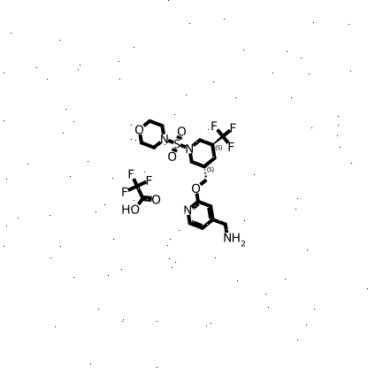 NCc1ccnc(OC[C@H]2C[C@H](C(F)(F)F)CN(S(=O)(=O)N3CCOCC3)C2)c1.O=C(O)C(F)(F)F